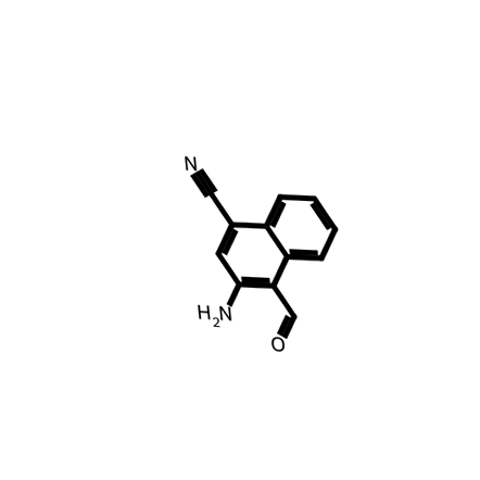 N#Cc1cc(N)c(C=O)c2ccccc12